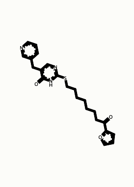 O=C(CCCCCCCSc1ncc(Cc2cccnc2)c(=O)[nH]1)c1ccco1